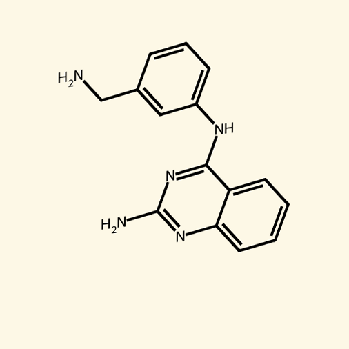 NCc1cccc(Nc2nc(N)nc3ccccc23)c1